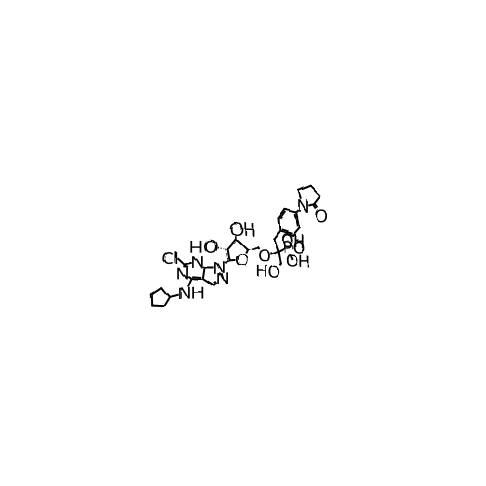 O=C1CCCN1c1ccc(CC(CO)(OC[C@H]2O[C@@H](n3ncc4c(NC5CCCC5)nc(Cl)nc43)[C@H](O)[C@@H]2O)P(=O)(O)O)cc1